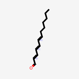 CCCCCC/C=C/C=C/C=C/[C]=O